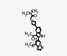 COc1cc(-c2[nH]c3ccc(C4CN(CC(=O)N(C)C)C4)cc3c2C(C)C)cn2ncnc12